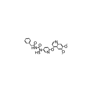 COc1cc2nccc(Oc3ccc(N(S)C(=O)NC(=O)Cc4ccccc4)cn3)c2cc1OC